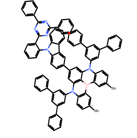 CC(C)(C)c1ccc2c(c1)B1c3cc(C(C)(C)C)ccc3N(c3cc(-c4ccccc4)cc(-c4ccccc4)c3)c3cc(-c4ccc5c(c4)c4ccccc4n5-c4ccccc4-c4nc(-c5ccccc5)nc(-c5ccccc5)n4)cc(c31)N2c1cc(-c2ccccc2)cc(-c2ccccc2)c1